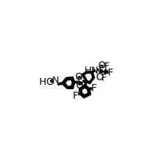 O=S(=O)(NC1CCC(c2cc(F)ccc2F)(S(=O)(=O)c2ccc(C=NO)cc2)CC1)C(F)(F)F